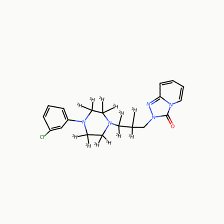 [2H]C([2H])(Cn1nc2ccccn2c1=O)C([2H])([2H])N1C([2H])([2H])C([2H])([2H])N(c2cccc(Cl)c2)C([2H])([2H])C1([2H])[2H]